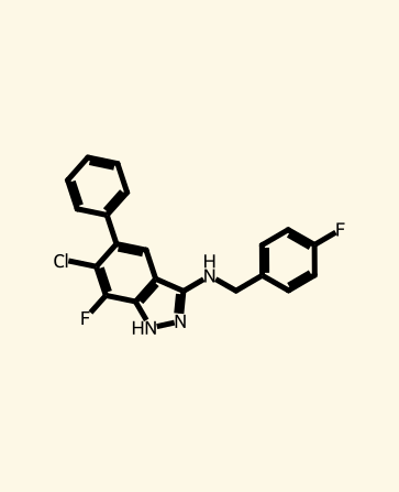 Fc1ccc(CNc2n[nH]c3c(F)c(Cl)c(-c4ccccc4)cc23)cc1